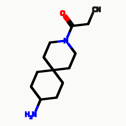 N#CCC(=O)N1CCC2(CCC(N)CC2)CC1